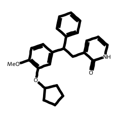 COc1ccc(C(Cc2ccc[nH]c2=O)c2ccccc2)cc1OC1CCCC1